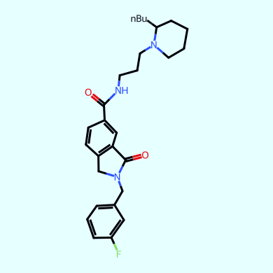 CCCCC1CCCCN1CCCNC(=O)c1ccc2c(c1)C(=O)N(Cc1cccc(F)c1)C2